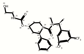 C[C@@H](c1cc(C(F)(F)F)cc(C(F)(F)F)c1)N(C)C(=O)N1CC[C@@H](OC(=O)NCCO)C[C@@H]1c1ccccc1